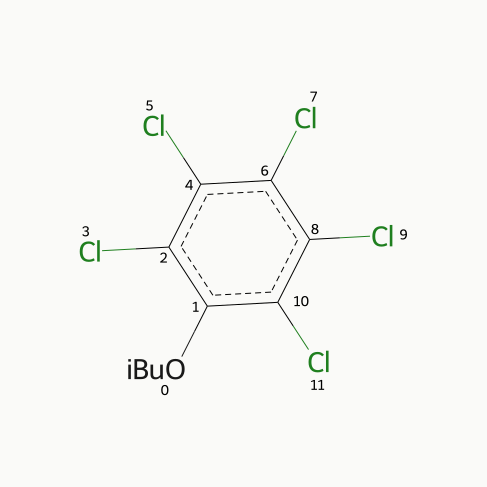 CC(C)COc1c(Cl)c(Cl)c(Cl)c(Cl)c1Cl